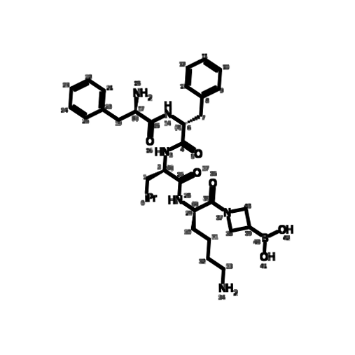 CC(C)C[C@@H](NC(=O)[C@@H](Cc1ccccc1)NC(=O)[C@H](N)Cc1ccccc1)C(=O)N[C@H](CCCCN)C(=O)N1CC(B(O)O)C1